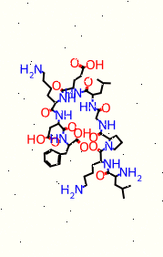 CC(C)CC(N)C(=O)NC(CCCCN)C(=O)N1CCCC1C(=O)NCC(=O)NC(CC(C)C)C(=O)NC(CCC(=O)O)C(=O)NC(CCCCN)C(=O)NC(CC(=O)O)C(=O)NC(Cc1ccccc1)C(=O)O